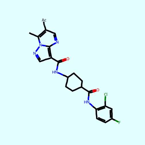 CC(=O)c1cnc2c(C(=O)NC3CCC(C(=O)Nc4ccc(F)cc4Cl)CC3)cnn2c1C